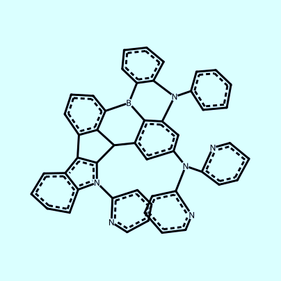 c1ccc(N2c3ccccc3B3c4cccc5c4C(c4cc(N(c6ccccn6)c6ccccn6)cc2c43)c2c-5c3ccccc3n2-c2ccccn2)cc1